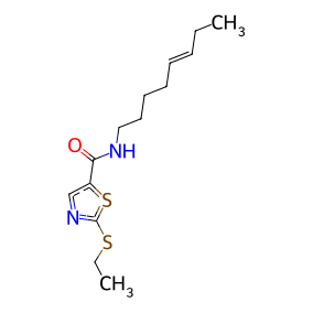 CC/C=C/CCCCNC(=O)c1cnc(SCC)s1